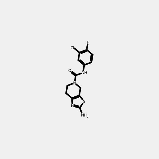 Nc1nc2c(s1)CN(C(=O)Nc1ccc(F)c(Cl)c1)CC2